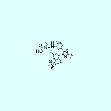 CC(CNc1nccc(-c2sc(C(C)(C)C)nc2-c2cc(F)cc(NS(C)(=O)=O)c2Cl)n1)NC(=O)O